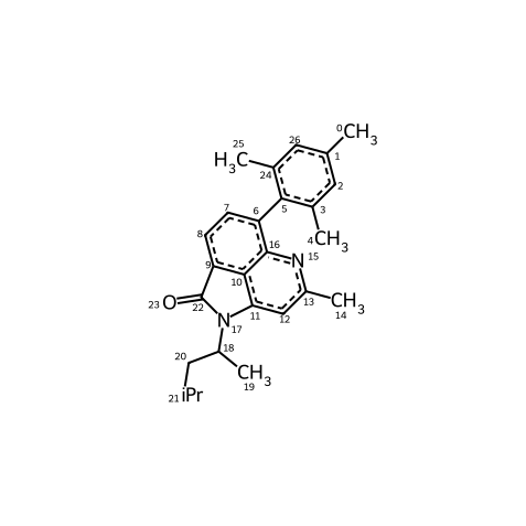 Cc1cc(C)c(-c2ccc3c4c(cc(C)nc24)N(C(C)CC(C)C)C3=O)c(C)c1